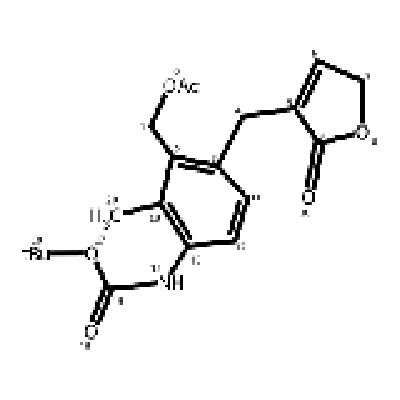 CC(=O)OCc1c(CC2=CCOC2=O)ccc(NC(=O)OC(C)(C)C)c1C